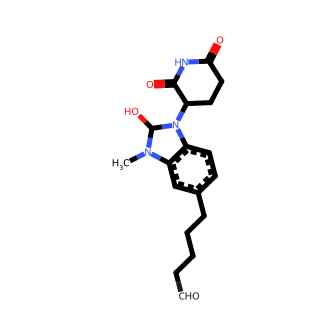 CN1c2cc(CCCCC=O)ccc2N(C2CCC(=O)NC2=O)C1O